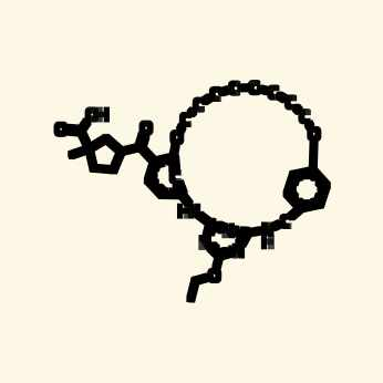 CCOc1nc2nc(n1)Nc1ccc(C(=O)C3CCC(C)(C(=O)O)C3)c(c1)OCCCCCCCCOc1ccc(cc1)CN2